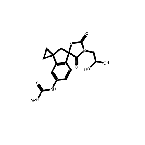 CNC(=O)Nc1ccc2c(c1)C1(CC1)CC21OC(=O)N(CC(O)O)C1=O